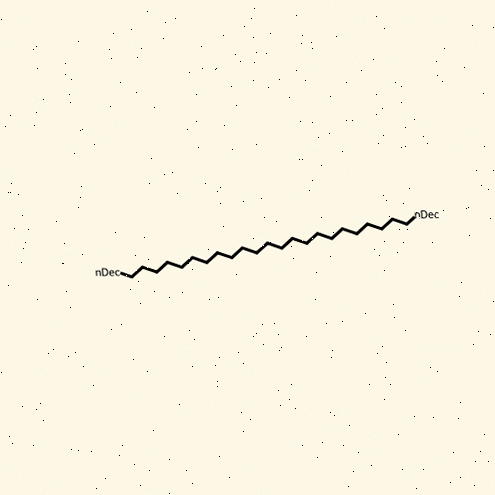 [CH2]CCCCCCCCCCCCCCCCCCCCCCCCCCCCCCCCCCCCCCCCC[CH2]